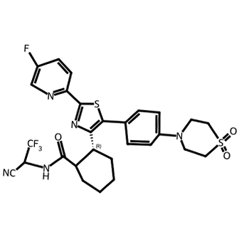 N#CC(NC(=O)C1CCCC[C@H]1c1nc(-c2ccc(F)cn2)sc1-c1ccc(N2CCS(=O)(=O)CC2)cc1)C(F)(F)F